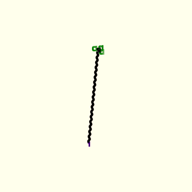 Cl[Si](Cl)(Cl)CCCCCCCCCCCCCCCCCCCCCCCCCCCCCCCCCCCCCI